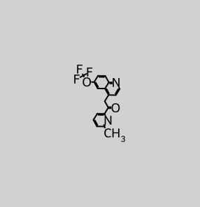 Cc1cccc(C(=O)Cc2ccnc3ccc(OC(F)(F)F)cc23)n1